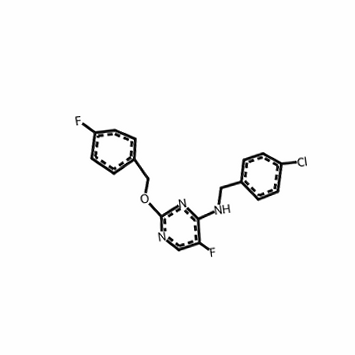 Fc1ccc(COc2ncc(F)c(NCc3ccc(Cl)cc3)n2)cc1